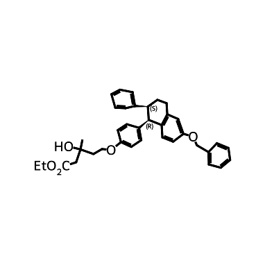 CCOC(=O)CC(C)(O)CCOc1ccc([C@@H]2c3ccc(OCc4ccccc4)cc3CC[C@@H]2c2ccccc2)cc1